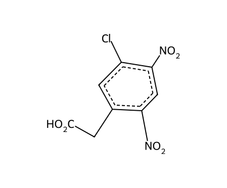 O=C(O)Cc1cc(Cl)c([N+](=O)[O-])cc1[N+](=O)[O-]